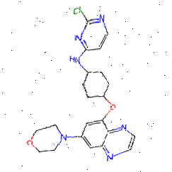 Clc1nccc(NC2CCC(Oc3cc(N4CCOCC4)cc4nccnc34)CC2)n1